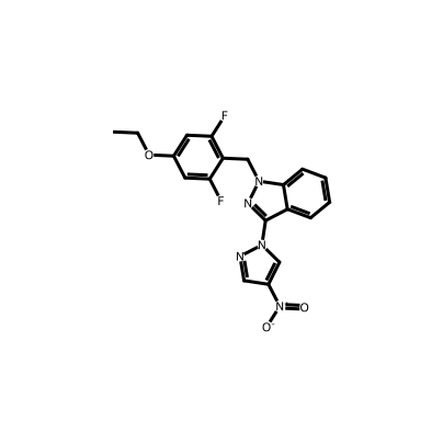 CCOc1cc(F)c(Cn2nc(-n3cc([N+](=O)[O-])cn3)c3ccccc32)c(F)c1